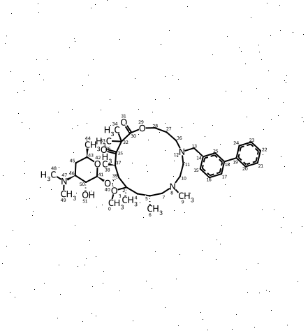 CO[C@]1(C)C[C@@H](C)CN(C)CCN(Cc2cccc(-c3ccccc3)c2)CCCOC(=O)C(C)(C)C(=O)[C@H](C)[C@H]1O[C@@H]1O[C@H](C)C[C@H](N(C)C)[C@H]1O